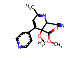 COC(=O)C1(OC)C(c2ccncc2)=CC(C)=NC1C#N